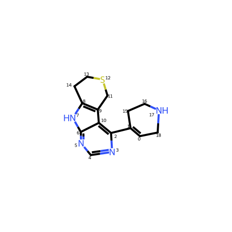 C1=C(c2ncnc3[nH]c4c(c23)CSCC4)CCNC1